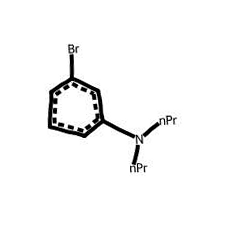 CCCN(CCC)c1cccc(Br)c1